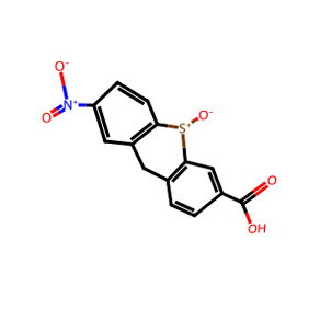 O=C(O)c1ccc2c(c1)[S+]([O-])c1ccc([N+](=O)[O-])cc1C2